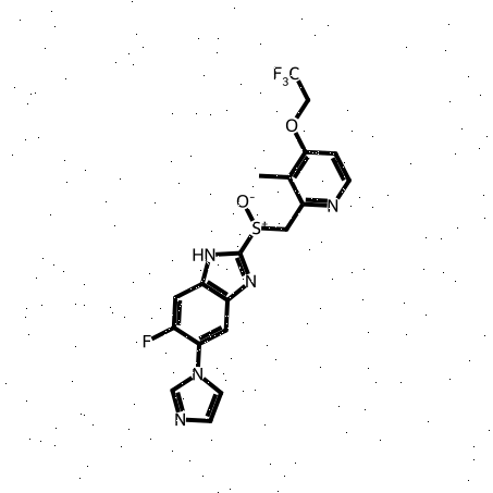 Cc1c(OCC(F)(F)F)ccnc1C[S+]([O-])c1nc2cc(-n3ccnc3)c(F)cc2[nH]1